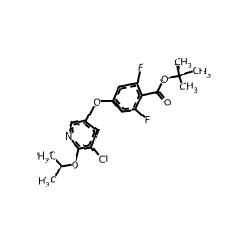 CC(C)Oc1ncc(Oc2cc(F)c(C(=O)OC(C)(C)C)c(F)c2)cc1Cl